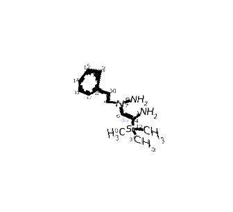 C[Si](C)(C)/C(N)=C/N(N)CCc1ccccc1